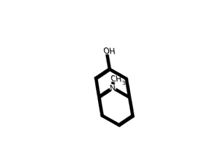 CN1C2CCCC1CC(O)C2